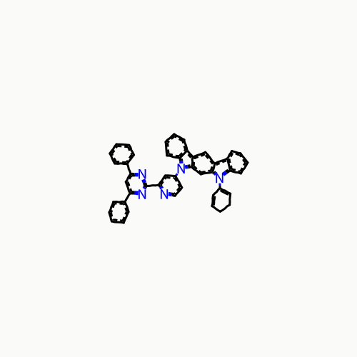 C1=CC(n2c3ccccc3c3cc4c5ccccc5n(-c5ccnc(-c6nc(-c7ccccc7)cc(-c7ccccc7)n6)c5)c4cc32)=CCC1